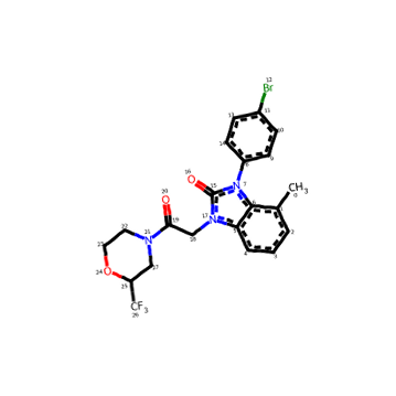 Cc1cccc2c1n(-c1ccc(Br)cc1)c(=O)n2CC(=O)N1CCOC(C(F)(F)F)C1